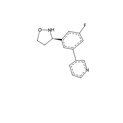 Fc1cc(-c2cccnc2)cc([C@H]2CCON2)c1